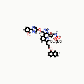 CCOC(=O)c1c(CCCOc2cccc3ccccc23)c2cccc(-c3c(COc4cnc(-c5ccccc5O)nc4)nn(C)c3CBr)c2n1CCCN(C)C(=O)OC(C)(C)C